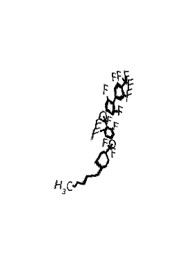 CCCCCCC1CCC(C(F)(F)Oc2cc(F)c(C(F)(F)Oc3cc(F)c(-c4cc(F)c(C(F)(F)F)c(F)c4)c(F)c3)c(F)c2)CC1